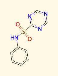 O=S(=O)(Nc1ccccc1)c1ncncn1